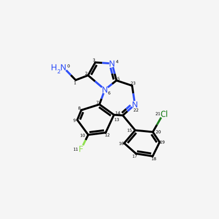 NCc1cnc2n1-c1ccc(F)cc1C(c1ccccc1Cl)=NC2